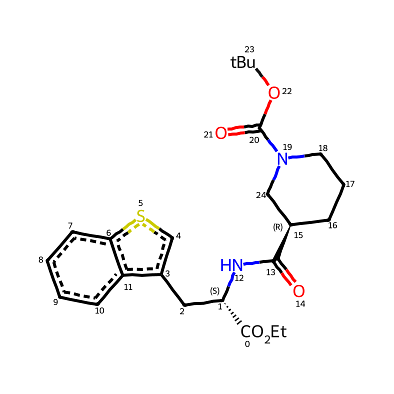 CCOC(=O)[C@H](Cc1csc2ccccc12)NC(=O)[C@@H]1CCCN(C(=O)OC(C)(C)C)C1